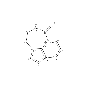 O=C1NCCc2ccn3cccc1c23